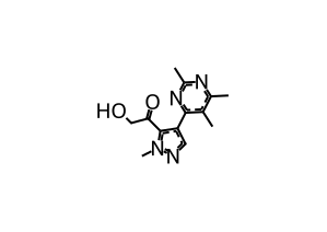 Cc1nc(C)c(C)c(-c2cnn(C)c2C(=O)CO)n1